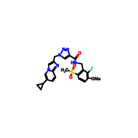 COc1ccc(S(C)(=O)=O)c(CNC(=O)c2cn(Cc3cn4cc(C5CC5)ccc4n3)nn2)c1F